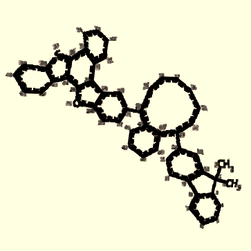 CC1(C)c2ccccc2-c2ccc(-c3ccccccc(-c4ccc5oc6c(c5c4)c4ccccc4c4sc5ccccc5c64)c4ccccc34)cc21